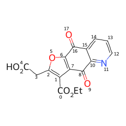 CCOC(=O)c1c(CC(=O)O)oc2c1C(=O)c1ncccc1C2=O